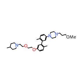 COCCCN1CCN(c2ccc(C)c(-c3cc(OCCOCCN4CCC(C)CC4)ccc3C)c2)CC1